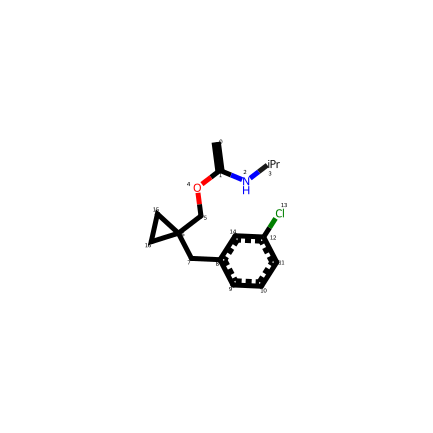 C=C(NC(C)C)OCC1(Cc2cccc(Cl)c2)CC1